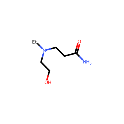 CCN(CCO)CCC(N)=O